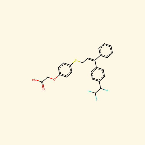 O=C(O)COc1ccc(SCC=C(c2ccccc2)c2ccc(C(F)C(F)F)cc2)cc1